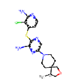 C[C@@H]1COCC12CCN(c1cnc(Sc3ccnc(N)c3Cl)c(N)n1)CC2